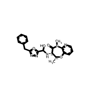 C[C@H]1Oc2cccnc2N(C)C(=O)[C@H]1NC(O)c1nnc(Cc2ccccc2)o1